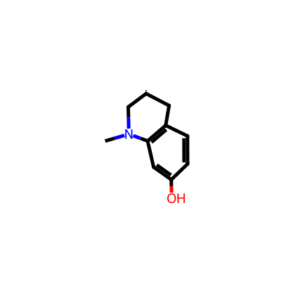 CN1C[CH]Cc2ccc(O)cc21